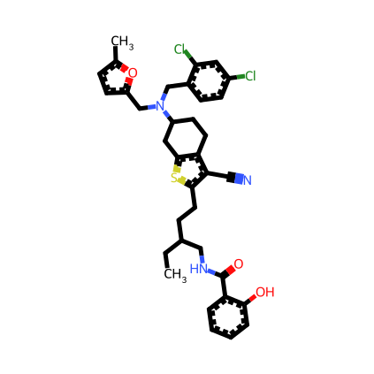 CCC(CCc1sc2c(c1C#N)CCC(N(Cc1ccc(C)o1)Cc1ccc(Cl)cc1Cl)C2)CNC(=O)c1ccccc1O